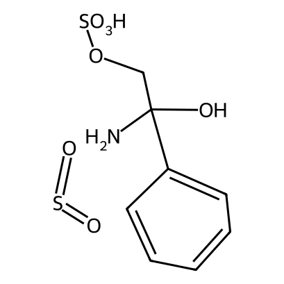 NC(O)(COS(=O)(=O)O)c1ccccc1.O=S=O